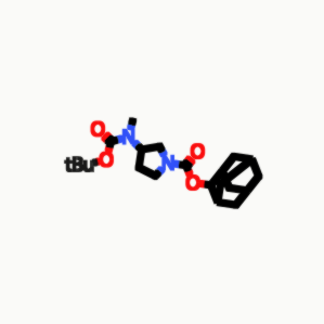 CN(C(=O)OC(C)(C)C)C1CCN(C(=O)OC2C3CC4CC(C3)CC2C4)C1